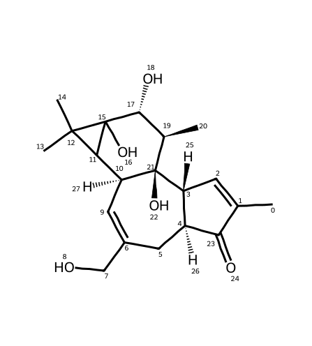 CC1=C[C@@H]2[C@H](CC(CO)=C[C@H]3C4C(C)(C)C4(O)[C@H](O)[C@@H](C)[C@]23O)C1=O